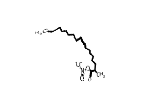 CCCCCCCC/C=C\CCCCCCC(C)C(=O)O[N+](=O)[O-]